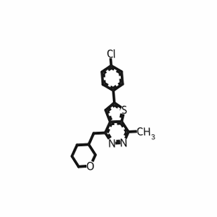 Cc1nnc(CC2CCCOC2)c2cc(-c3ccc(Cl)cc3)sc12